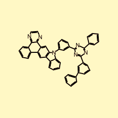 c1ccc(-c2cccc(-c3nc(-c4ccccc4)nc(-c4cccc(-n5c6ccccc6c6cc7c8ccccc8c8nccnc8c7cc65)c4)n3)c2)cc1